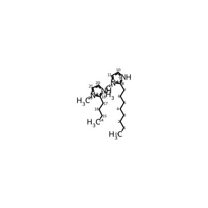 CCCCCCCCc1[nH]cc[n+]1C.CCCCc1[nH]cc[n+]1C